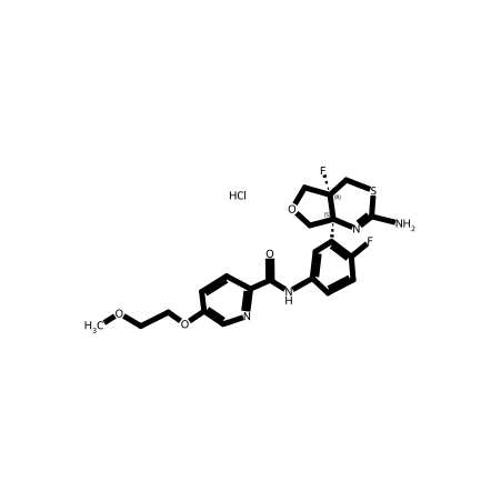 COCCOc1ccc(C(=O)Nc2ccc(F)c([C@]34COC[C@@]3(F)CSC(N)=N4)c2)nc1.Cl